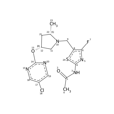 CC(=O)Nc1nc(F)c(CN2C[C@H](Oc3ncc(Cl)cn3)C[C@@H]2C)s1